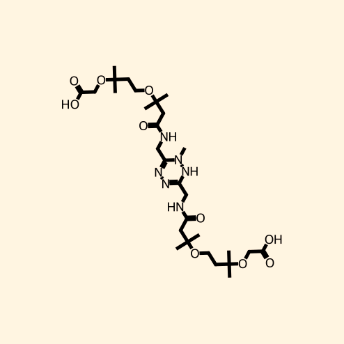 CN1NC(CNC(=O)CC(C)(C)OCCC(C)(C)OCC(=O)O)=NN=C1CNC(=O)CC(C)(C)OCCC(C)(C)OCC(=O)O